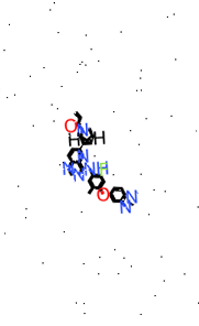 C=CC(=O)N1C[C@H]2C[C@@H]1[C@H](c1ccc3ncnc(Nc4cc(C)c(Oc5ccc6c(c5)ncn6C)cc4F)c3n1)C2